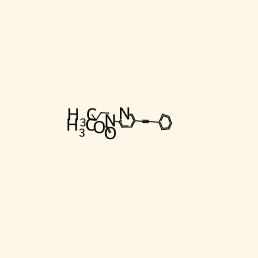 CC1(C)CCN(c2ccc(C#Cc3ccccc3)cn2)C(=O)O1